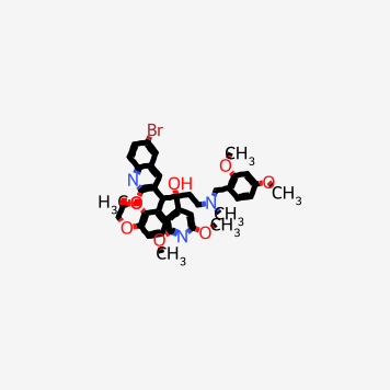 COc1ccc(CN(C)CCC(O)(c2cc(OC)nc(OC)c2)C(c2cc3cc(Br)ccc3nc2OC)c2cccc3c2OCCO3)c(OC)c1